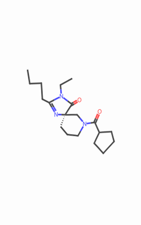 CCCCC1=N[C@@]2(CCCN(C(=O)C3CCCC3)C2)C(=O)N1CC